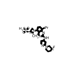 CC(C)c1ccc(N2C[C@H](CS(C)(=O)=O)[C@H]2C)c2cnc(Nc3ccnc(N4CCC[C@@H](F)C4)c3)nc12